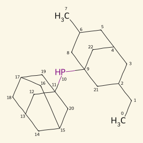 CCC1CC2CC(C)CC(PC34CC5CC(CC(C5)C3)C4)(C1)C2